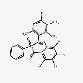 Cc1cc(C)c(C(=O)P(=O)(C(=O)c2c(Cl)c(Cl)c(Cl)c(Cl)c2Cl)c2ccccc2)c(C)c1C